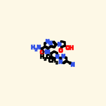 CC1(C)CN(c2ncc(C#N)cn2)CC[C@H]1Nc1c(C(N)=O)cnn2cc(N3CC[C@@H](O)C3=O)cc12